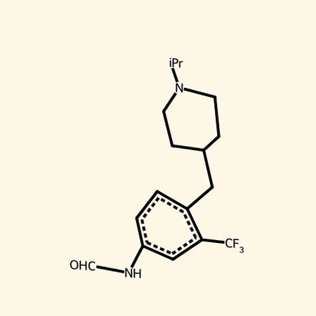 CC(C)N1CCC(Cc2ccc(NC=O)cc2C(F)(F)F)CC1